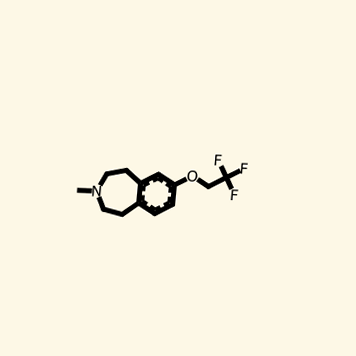 CN1CCc2ccc(OCC(F)(F)F)cc2CC1